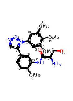 COc1ccc(-c2cnnn2-c2cc(OC)c(OC)c(OC)c2)cc1NC(=O)C(N)CO